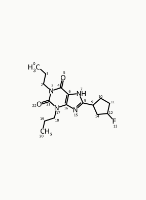 CCCn1c(=O)c2[nH]c(C3CCC(F)C3)nc2n(CCC)c1=O